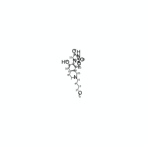 COCCCCN1CCc2cc(O)c(N3CC(=O)NS3(=O)=O)c(F)c2C1